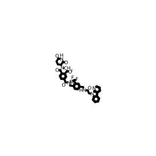 CN(C(=O)c1ccc(C(=O)NCc2ccc(CNC(=O)Cn3c4ccccc4c4cccnc43)cc2C(F)(F)F)cc1C=O)C1CCC(=O)NC1=O